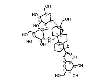 C[C@]12CCC[C@@](C)(C(=O)O[C@@H]3O[C@H](CO)[C@@H](O)[C@H](O)[C@H]3O)[C@@H]1CC[C@@]13C=C(CO)[C@@](O[C@@H]4O[C@H](CO)[C@@H](O)[C@H](O)[C@H]4O[C@@H]4O[C@H](CO)[C@@H](O)[C@H](O)[C@H]4O)(CC[C@@H]12)C3